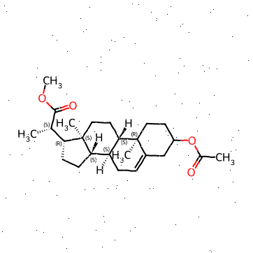 COC(=O)[C@@H](C)[C@H]1CC[C@H]2[C@@H]3CC=C4CC(OC(C)=O)CC[C@]4(C)[C@H]3CC[C@]12C